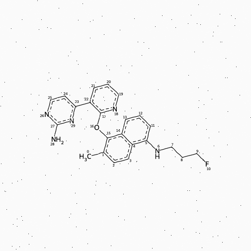 Cc1ccc2c(NCCCF)cccc2c1Oc1ncccc1-c1ccnc(N)n1